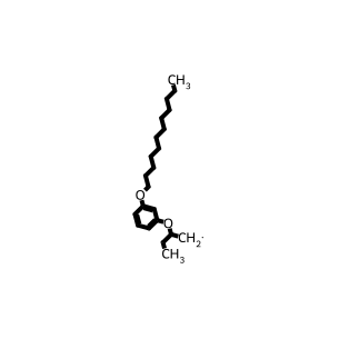 [CH2]C(CC)Oc1cccc(OCCCCCCCCCCCC)c1